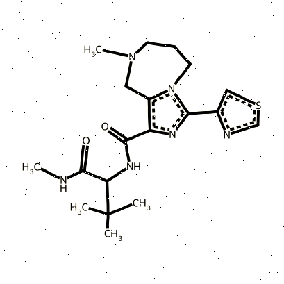 CNC(=O)C(NC(=O)c1nc(-c2cscn2)n2c1CN(C)CCC2)C(C)(C)C